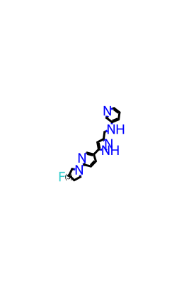 F[C@H]1CCN(c2ccc(-c3cc(CNc4cccnc4)n[nH]3)cn2)C1